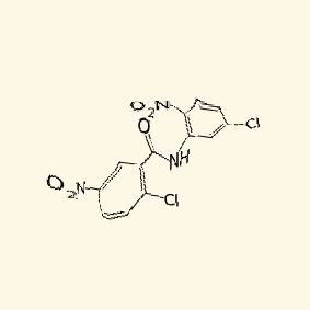 O=C(Nc1cc(Cl)ccc1[N+](=O)[O-])c1cc([N+](=O)[O-])ccc1Cl